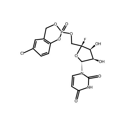 O=c1ccn([C@@H]2O[C@](F)(COP3(=O)OCc4cc(Cl)ccc4O3)[C@@H](O)[C@H]2O)c(=O)[nH]1